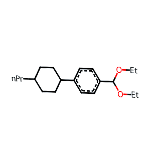 CCCC1CCC(c2ccc(C(OCC)OCC)cc2)CC1